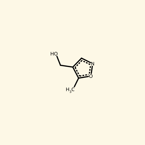 Cc1oncc1CO